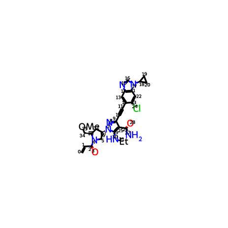 C=CC(=O)N1C[C@@H](n2nc(C#Cc3cc4ncn(C5CC5)c4cc3Cl)c(C(N)=O)c2NCC)C[C@@H]1COC